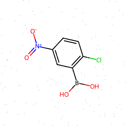 O=[N+]([O-])c1ccc(Cl)c(B(O)O)c1